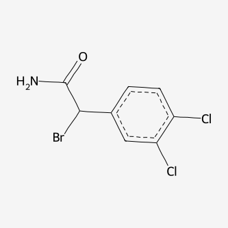 NC(=O)C(Br)c1ccc(Cl)c(Cl)c1